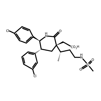 C[C@@H](CCNS(C)(=O)=O)[C@]1(CC(=O)O)C[C@H](c2cccc(Cl)c2)[C@@H](c2ccc(Cl)cc2)NC1=O